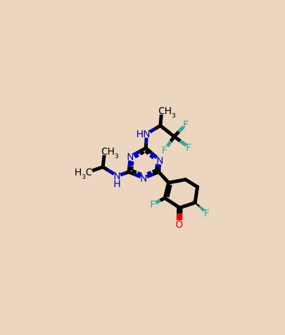 CC(C)Nc1nc(NC(C)C(F)(F)F)nc(C2=C(F)C(=O)[C@H](F)CC2)n1